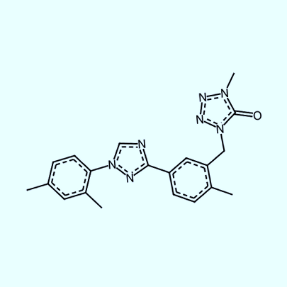 Cc1ccc(-n2cnc(-c3ccc(C)c(Cn4nnn(C)c4=O)c3)n2)c(C)c1